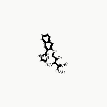 NC(C(=O)COc1cc2ccccc2cc1-c1ncc[nH]1)C(=C=O)C(=O)O